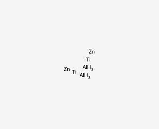 [AlH3].[AlH3].[Ti].[Ti].[Zn].[Zn]